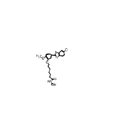 COc1ccc(-c2nc3ccc(Cl)cc3s2)cc1OCCCCCCC(=O)NO